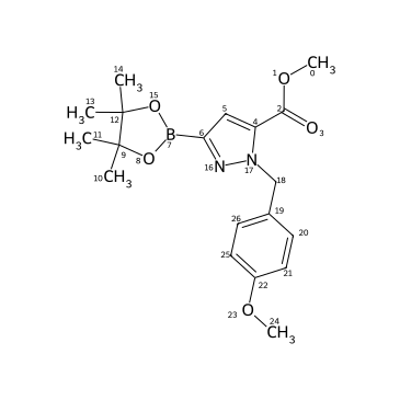 COC(=O)c1cc(B2OC(C)(C)C(C)(C)O2)nn1Cc1ccc(OC)cc1